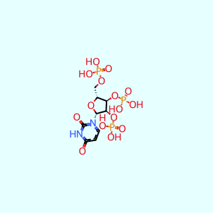 O=c1ccn([C@@H]2O[C@H](COP(=O)(O)O)[C@@H](OP(=O)(O)O)[C@H]2OP(=O)(O)O)c(=O)[nH]1